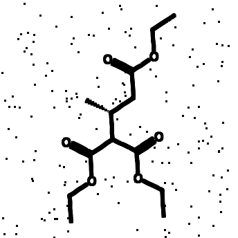 CCOC(=O)C[C@@H](C)C(C(=O)OCC)C(=O)OCC